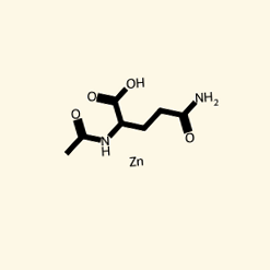 CC(=O)NC(CCC(N)=O)C(=O)O.[Zn]